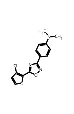 CN(C)c1ccc(-c2noc(-c3sccc3Cl)n2)cc1